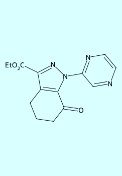 CCOC(=O)c1nn(-c2cnccn2)c2c1CCCC2=O